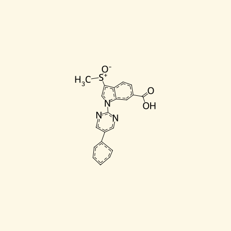 C[S+]([O-])c1cn(-c2ncc(-c3ccccc3)cn2)c2cc(C(=O)O)ccc12